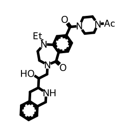 CCN1CCN(CC(O)C2Cc3ccccc3CN2)C(=O)c2ccc(C(=O)N3CCN(C(C)=O)CC3)cc21